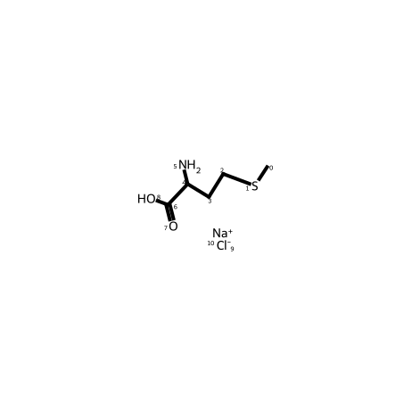 CSCCC(N)C(=O)O.[Cl-].[Na+]